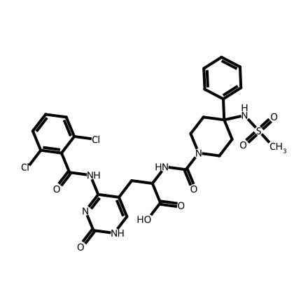 CS(=O)(=O)NC1(c2ccccc2)CCN(C(=O)NC(Cc2c[nH]c(=O)nc2NC(=O)c2c(Cl)cccc2Cl)C(=O)O)CC1